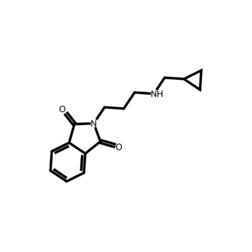 O=C1c2ccccc2C(=O)N1CCCNCC1CC1